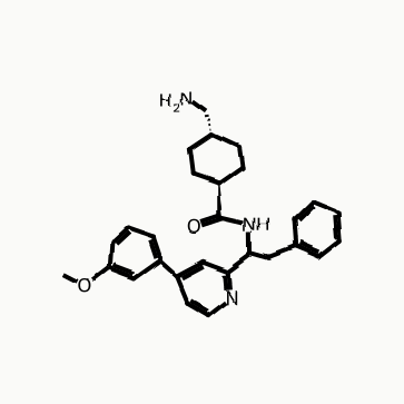 COc1cccc(-c2ccnc(C(Cc3ccccc3)NC(=O)[C@H]3CC[C@H](CN)CC3)c2)c1